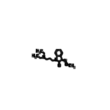 CCN(CC)CCCN1C(=O)C(=NOC)c2ccccc21